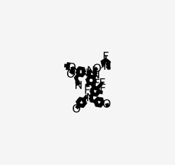 COc1ccc(CN(Cc2ccc(OC)cc2)c2cc(C)c(C(F)(F)F)c(C3Cc4nc(OC[C@@H]5C[C@@H](F)CN5C)nc(N5CCN(C(=O)OC(C)(C)C)C(CC#N)C5)c4CC3C)c2F)cc1